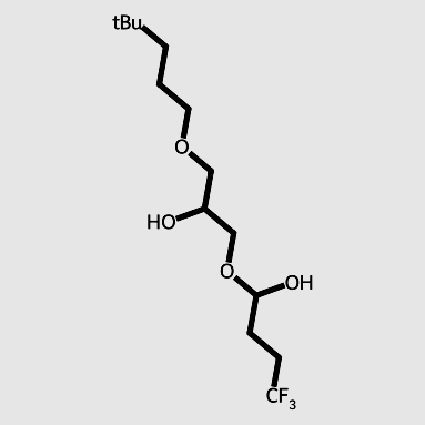 CC(C)(C)CCCOCC(O)COC(O)CCC(F)(F)F